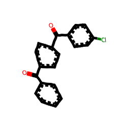 O=C(c1ccccc1)c1ccc(C(=O)c2ccc(Cl)cc2)cc1